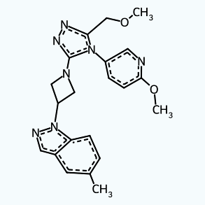 COCc1nnc(N2CC(n3ncc4cc(C)ccc43)C2)n1-c1ccc(OC)nc1